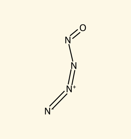 [N-]=[N+]=NN=O